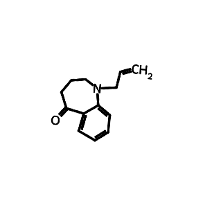 C=CCN1CCCC(=O)c2ccccc21